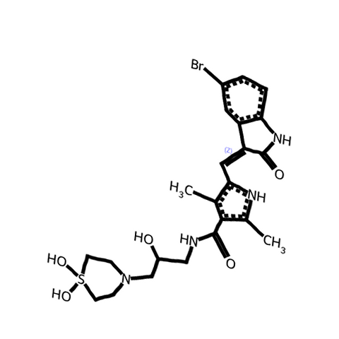 Cc1[nH]c(/C=C2\C(=O)Nc3ccc(Br)cc32)c(C)c1C(=O)NCC(O)CN1CCS(O)(O)CC1